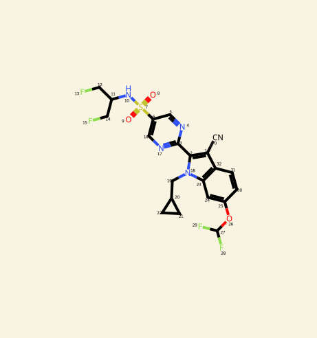 N#Cc1c(-c2ncc(S(=O)(=O)NC(CF)CF)cn2)n(CC2CC2)c2cc(OC(F)F)ccc12